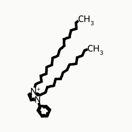 CCCCCCCCCCCCCCCC[n+]1ccn(-c2ccccc2)c1CCCCCCCCCCCCC